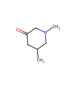 CC1CC(=O)CN(C)C1